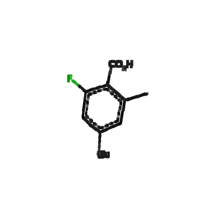 Cc1cc(C(C)(C)C)cc(F)c1C(=O)O